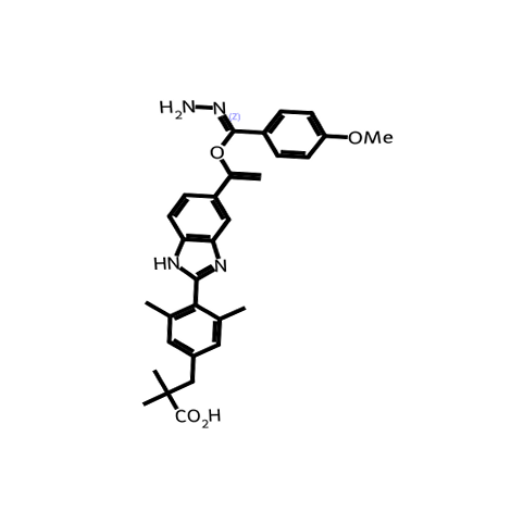 C=C(O/C(=N\N)c1ccc(OC)cc1)c1ccc2[nH]c(-c3c(C)cc(CC(C)(C)C(=O)O)cc3C)nc2c1